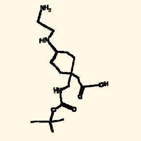 CC(C)(C)OC(=O)NCC1(CC(=O)O)CCC(NCCN)CC1